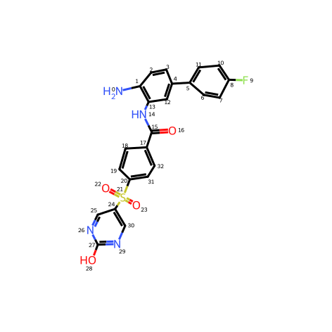 Nc1ccc(-c2ccc(F)cc2)cc1NC(=O)c1ccc(S(=O)(=O)c2cnc(O)nc2)cc1